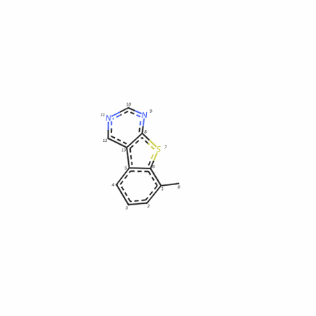 Cc1cccc2c1sc1ncncc12